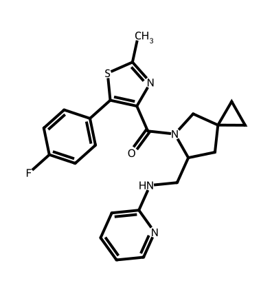 Cc1nc(C(=O)N2CC3(CC3)CC2CNc2ccccn2)c(-c2ccc(F)cc2)s1